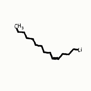 [Li][CH2]CC/C=C\CCCCCCCCC